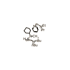 CCCCN(CCCC)CCCC.CCN(C(C)C)C(C)C.CN(C)C1CCCCC1.c1ccncc1